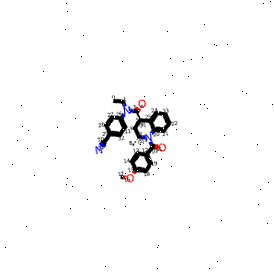 CCN(C(=O)[C@@H]1C[C@@H](C)N(C(=O)c2ccc(OC)cc2)c2ccccc21)c1ccc(C#N)cc1